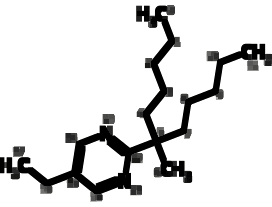 CCCCCC(C)(CCCCC)c1ncc(CC)cn1